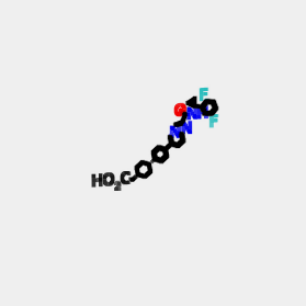 O=C(O)C[C@H]1CC[C@H](c2ccc(-c3ccc4nc(C(=O)NC5(c6cc(F)ccc6F)CC5)cn4c3)cc2)CC1